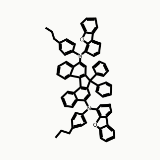 CCCc1ccc(N(c2cc3c(c4ccccc24)-c2c(cc(N(c4ccc(CCC)cc4)c4cccc5c4oc4ccccc45)c4ccccc24)C3(c2ccccc2)c2ccccc2)c2cccc3c2oc2ccccc23)cc1